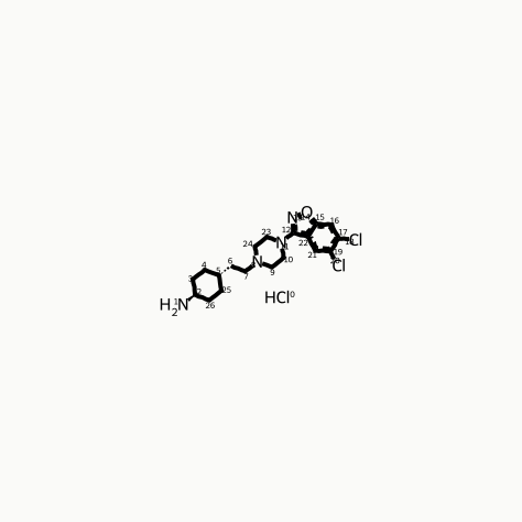 Cl.N[C@H]1CC[C@H](CCN2CCN(c3noc4cc(Cl)c(Cl)cc34)CC2)CC1